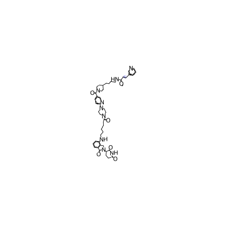 O=C(/C=C/c1cccnc1)NCCCCC1CCN(C(=O)c2ccc(N3CCN(C(=O)CCCCCNc4cccc5c4CN(C4CCC(=O)NC4=O)C5=O)CC3)nc2)CC1